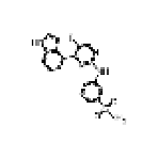 NS(=O)(=O)c1cccc(Nc2ncc(F)c(-c3cccc4[nH]ccc34)n2)c1